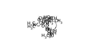 CC[C@@H]1C[C@H](C)CC/C=C\[C@@H]2C[C@@]2(C(=O)NS(=O)(=O)C2(C)CC2)NC(=O)[C@@H]2C[C@@H](Oc3ncc(OC)c4cc(N(C)C)ccc34)CN2C(=O)[C@H]1N(C(=O)O)C(C)(C)C(F)(F)F